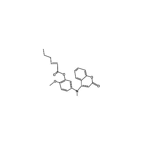 CCC/C=C/C(=O)Oc1cc(N(C)c2cc(=O)oc3ccccc23)ccc1OC